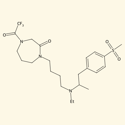 CCN(CCCCN1CCCN(C(=O)C(F)(F)F)CC1=O)C(C)Cc1ccc(S(C)(=O)=O)cc1